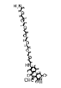 Cc1c(NCCOCCOCCOCCOCCOCCOCCOCCN)cccc1C(=O)N(C=O)C1CCC(=O)NC1=O